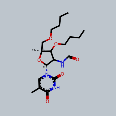 CCCCOC[C@]1(C)O[C@@H](n2cc(C)c(=O)[nH]c2=O)C(NC=O)C1OCCCC